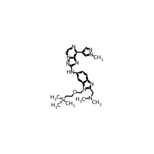 CN(C)Cc1nc2ccc(Nc3nc4c(-c5cnn(C)c5)nccn4n3)cc2n1COCC[Si](C)(C)C